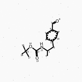 CC(Cc1ccc(C=O)cc1)NC(=O)OC(C)(C)C